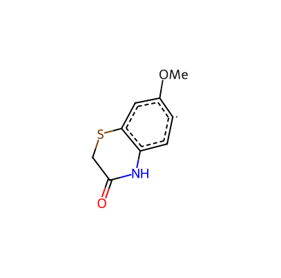 COc1[c]cc2c(c1)SCC(=O)N2